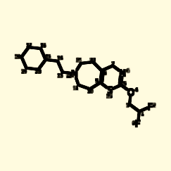 FC(F)COC1=NCC2=C(CCN(CCC3CCCCC3)CC2)S1